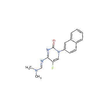 CN(C)/C=N/c1nc(=O)n(-c2ccc3ccccc3c2)cc1F